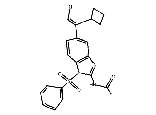 CC(=O)Nc1nc2cc(C(=CCl)C3CCC3)ccc2n1S(=O)(=O)c1ccccc1